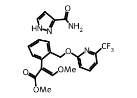 CO/C=C(/C(=O)OC)c1ccccc1COc1cccc(C(F)(F)F)n1.NC(=O)c1cc[nH]n1